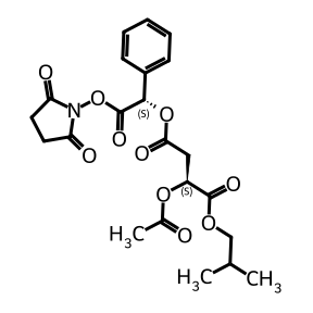 CC(=O)O[C@@H](CC(=O)O[C@H](C(=O)ON1C(=O)CCC1=O)c1ccccc1)C(=O)OCC(C)C